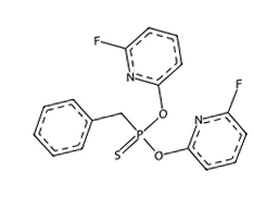 Fc1cccc(OP(=S)(Cc2ccccc2)Oc2cccc(F)n2)n1